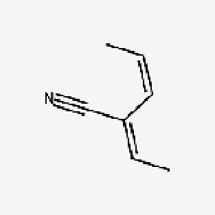 C/C=C\C(C#N)=C/C